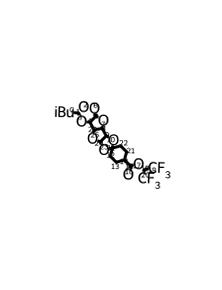 CCC(C)C(=O)OC1C(=O)OC2C3OC4(CCC(C(=O)OC(C(F)(F)F)C(F)(F)F)CC4)OC3OC12